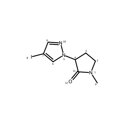 CN1CCC(n2cc(I)cn2)C1=O